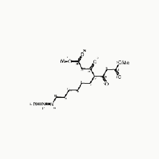 COC(=O)CC(=O)C(CCCCCCN=[N+]=[N-])C(=O)CC(=O)OC